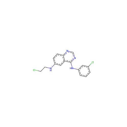 ClCCNc1ccc2ncnc(Nc3cccc(Cl)c3)c2c1